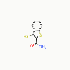 NC(=O)c1sc2ccccc2c1S